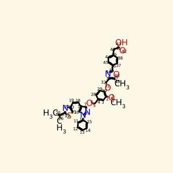 COc1cc(COc2nn(-c3ccccc3)cc2/C=C\c2csc(C(C)C)n2)ccc1OCc1nc(-c2ccc(CC(=O)O)cc2)oc1C